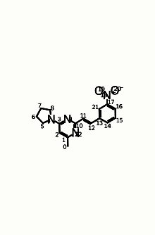 Cc1cc(N2CCCC2)nc(C=Cc2cccc([N+](=O)[O-])c2)n1